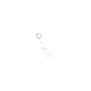 Cc1ccc2c(c1)OC[C@]21CC[C@H]([C@H](C)C(=O)N[C@H]2CC[C@H](C)CC2)CC1